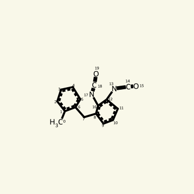 Cc1ccccc1Cc1cccc(N=C=O)c1N=C=O